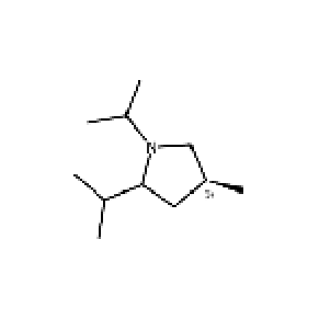 CC(C)C1C[C@H](C)CN1C(C)C